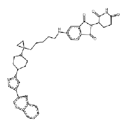 O=C1CCC(N2C(=O)c3ccc(NCCCCCC4(N5CCC(n6cc(-c7cnc8ccccc8n7)cn6)CC5)CC4)cc3C2=O)C(=O)N1